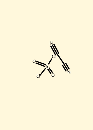 N#CC#N.O=S(=O)(Cl)Cl